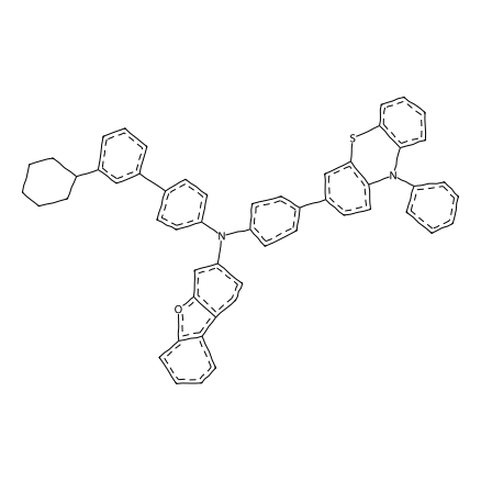 c1ccc(N2c3ccccc3Sc3cc(-c4ccc(N(c5ccc(-c6cccc(C7CCCCC7)c6)cc5)c5ccc6c(c5)oc5ccccc56)cc4)ccc32)cc1